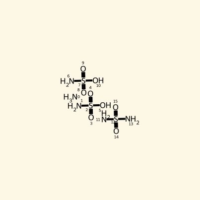 N.NS(=O)(=O)O.NS(=O)(=O)O.NS(N)(=O)=O